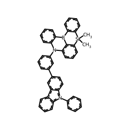 C[Si]1(C)c2ccccc2B2c3ccccc3N(c3cccc(-c4ccc5c(c4)c4ccccc4n5-c4ccccc4)c3)c3cccc1c32